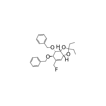 CCC1(CC)O[C@H]2[C@@H](OCc3ccccc3)[C@H](OCc3ccccc3)C(CF)=C[C@H]2O1